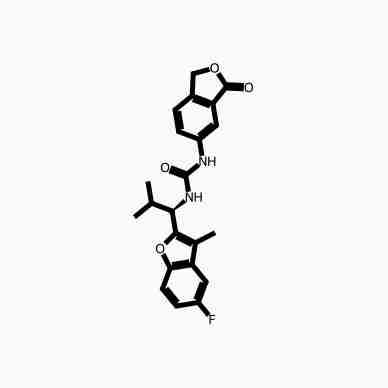 Cc1c([C@H](NC(=O)Nc2ccc3c(c2)C(=O)OC3)C(C)C)oc2ccc(F)cc12